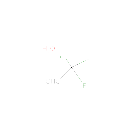 O.O=CC(F)(F)Cl